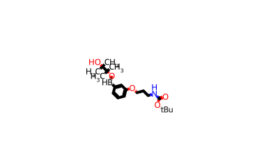 CC(C)(C)OC(=O)NCCCOc1cccc(BOC(C)(C)C(C)(C)O)c1